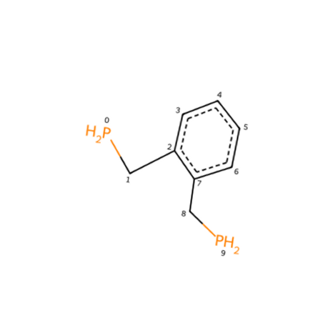 PCc1ccccc1CP